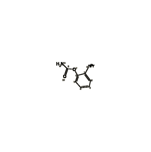 CCCc1ccccc1OC(N)=O